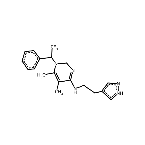 CC1=C(C)N(C(c2ccccc2)C(F)(F)F)CN=C1NCCc1cn[nH]c1